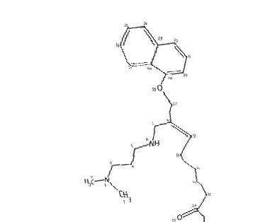 CN(C)CCCNCC(=CCCCCC(=O)O)COc1cccc2ccccc12